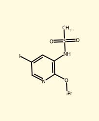 CC(C)Oc1ncc(I)cc1NS(C)(=O)=O